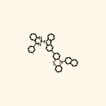 c1ccc(-c2nc(-n3c4ccccc4c4cc(-c5ccc6c(c5)Sc5ccccc5N6c5ccc6ccccc6c5)ccc43)nc3ccccc23)cc1